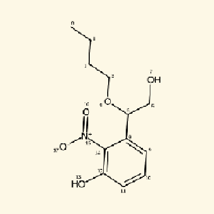 CCCCOC(CO)c1cccc(O)c1[N+](=O)[O-]